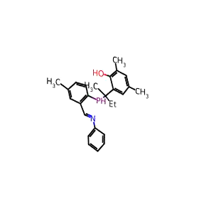 CCC(C)(Pc1ccc(C)cc1/C=N/c1ccccc1)c1cc(C)cc(C)c1O